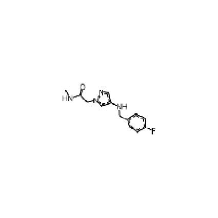 CNC(=O)Cn1cc(NCc2ccc(F)cc2)cn1